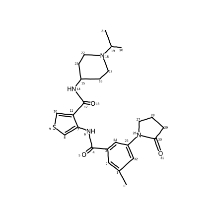 Cc1cc(C(=O)Nc2cscc2C(=O)NC2CCN(C(C)C)CC2)cc(N2CCCC2=O)c1